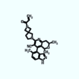 C=CC(=O)N1CC2(CCN(c3nc4c(c(-c5c(C)ccc6[nH]ncc56)c3C#N)[C@H](C)O[C@H](C)C4)C2)C1